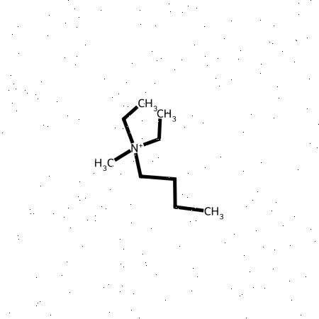 CCCC[N+](C)(CC)CC